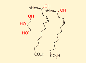 CCCCCC[C@@H](O)C/C=C\CCCCCCCC(=O)O.CCCCCC[C@@H](O)C/C=C\CCCCCCCC(=O)O.OCC(O)CO